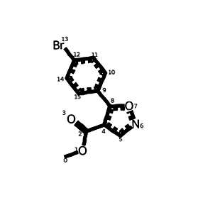 COC(=O)c1cnoc1-c1ccc(Br)cc1